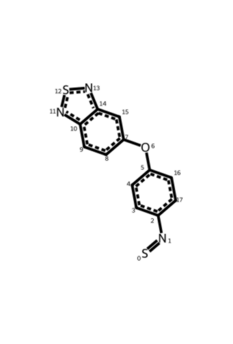 S=Nc1ccc(Oc2ccc3nsnc3c2)cc1